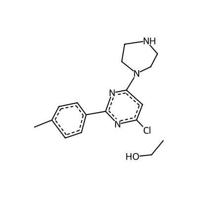 CCO.Cc1ccc(-c2nc(Cl)cc(N3CCNCC3)n2)cc1